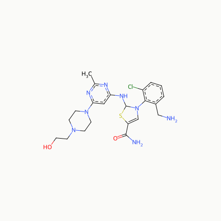 Cc1nc(NC2SC(C(N)=O)=CN2c2c(Cl)cccc2CN)cc(N2CCN(CCO)CC2)n1